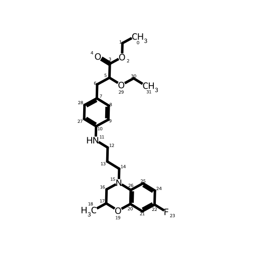 CCOC(=O)C(Cc1ccc(NCCCN2CC(C)Oc3cc(F)ccc32)cc1)OCC